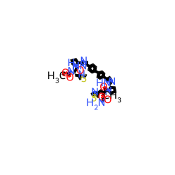 COC(=O)N[C@@H](Cc1cscn1)C(=O)N1CCCC1c1ncc(-c2ccc(-c3ccc(-c4cnc([C@@H]5CCCN5C(=O)[C@](C)(Cc5cscn5)OC(N)=O)[nH]4)cc3)cc2)[nH]1